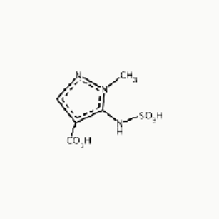 Cn1ncc(C(=O)O)c1NS(=O)(=O)O